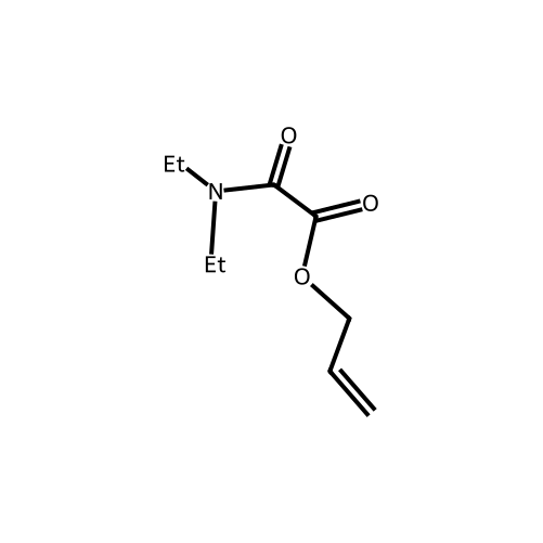 C=CCOC(=O)C(=O)N(CC)CC